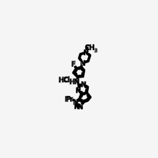 CC(C)n1nnc2ccc3cnc(Nc4ccc(N5CCN(C)CC5)c(F)c4)nc3c21.Cl